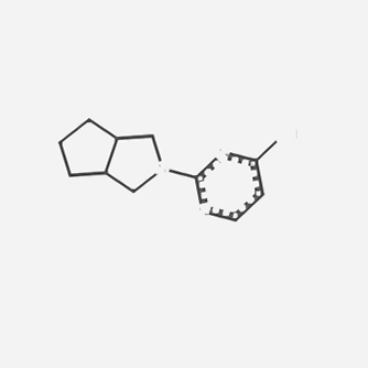 Cc1ccnc(N2CC3CCCC3C2)n1